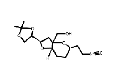 [C-]#[N+]CC[C@H]1CC[C@@H]2O[C@@H](C3COC(C)(C)O3)C[C@]2(CO)O1